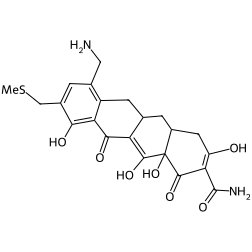 CSCc1cc(CN)c2c(c1O)C(=O)C1=C(O)C3(O)C(=O)C(C(N)=O)=C(O)CC3CC1C2